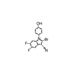 N#Cc1c(Br)n(-c2ccc(O)cc2)c2cc(F)c(F)cc12